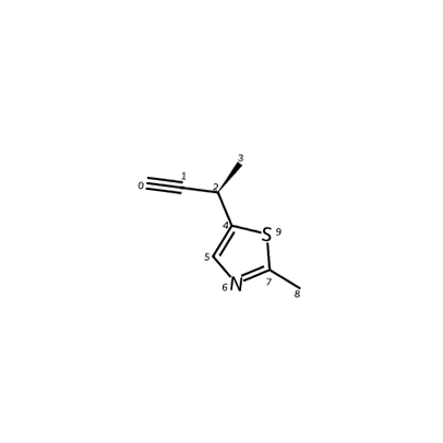 C#C[C@@H](C)c1cnc(C)s1